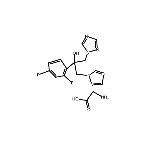 NCC(=O)O.OC(Cn1cncn1)(Cn1cncn1)c1ccc(F)cc1F